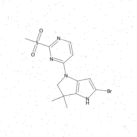 CC1(C)CN(c2ccnc(S(C)(=O)=O)n2)c2cc(Br)[nH]c21